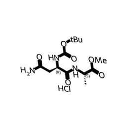 COC(=O)[C@H](C)NC(=O)[C@@H](CC(N)=O)NC(=O)OC(C)(C)C.Cl